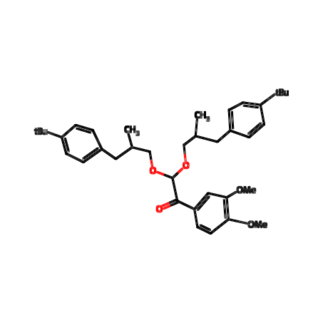 COc1ccc(C(=O)C(OCC(C)Cc2ccc(C(C)(C)C)cc2)OCC(C)Cc2ccc(C(C)(C)C)cc2)cc1OC